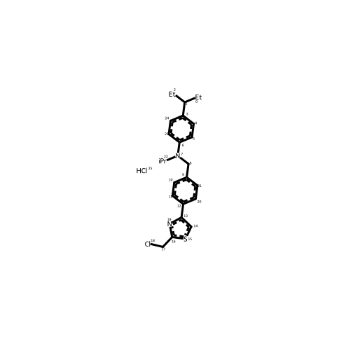 CCC(CC)c1ccc(N(Cc2ccc(-c3csc(CCl)n3)cc2)C(C)C)cc1.Cl